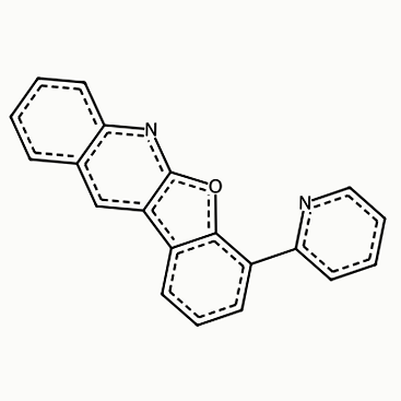 c1ccc(-c2cccc3c2oc2nc4ccccc4cc23)nc1